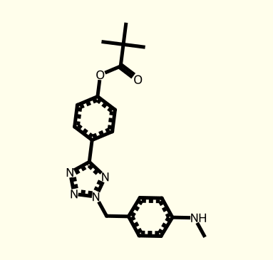 CNc1ccc(Cn2nnc(-c3ccc(OC(=O)C(C)(C)C)cc3)n2)cc1